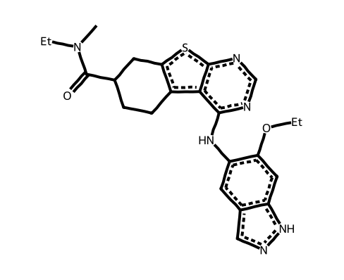 CCOc1cc2[nH]ncc2cc1Nc1ncnc2sc3c(c12)CCC(C(=O)N(C)CC)C3